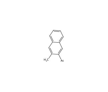 CC(=O)c1cc2ccccc2cc1C